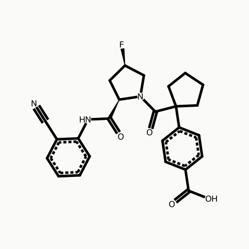 N#Cc1ccccc1NC(=O)[C@H]1C[C@@H](F)CN1C(=O)C1(c2ccc(C(=O)O)cc2)CCCC1